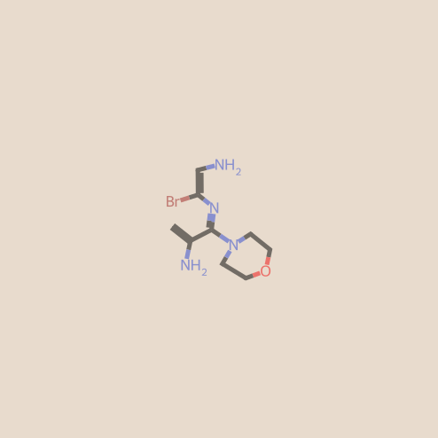 C=C(N)/C(=N\C(Br)=C/N)N1CCOCC1